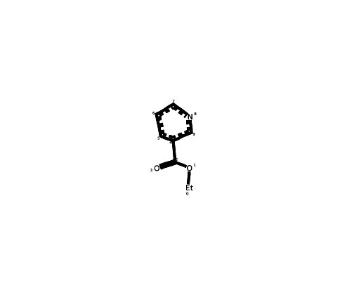 CCOC(=O)c1c[c]cnc1